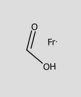 O=CO.[Fr]